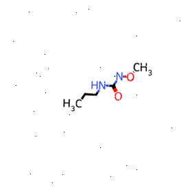 CCCNC(=O)[N]OC